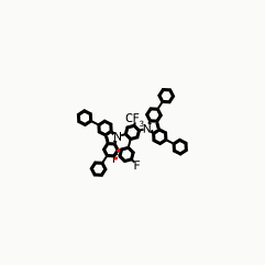 Fc1cc(F)cc(-c2cc(-n3c4ccc(-c5ccccc5)cc4c4cc(-c5ccccc5)ccc43)c(C(F)(F)F)cc2-n2c3ccc(-c4ccccc4)cc3c3cc(-c4ccccc4)ccc32)c1